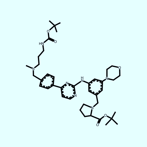 CN(CCCNC(=O)OC(C)(C)C)Cc1ccc(-c2ccnc(Nc3cc(CN4CCCC4C(=O)OC(C)(C)C)cc(N4CCOCC4)c3)n2)cc1